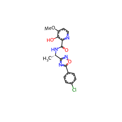 COc1ccnc(C(=O)N[C@@H](C)c2noc(-c3ccc(Cl)cc3)n2)c1O